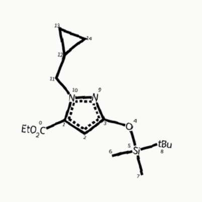 CCOC(=O)c1cc(O[Si](C)(C)C(C)(C)C)nn1CC1CC1